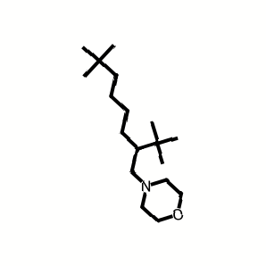 CC(C)(C)CCCCC(CN1CCOCC1)C(C)(C)C